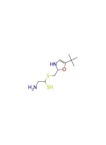 CC(C)(C)C1=CNC(CSC(S)CN)O1